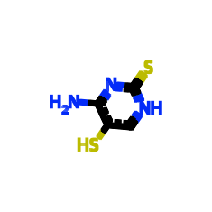 Nc1nc(=S)[nH]cc1S